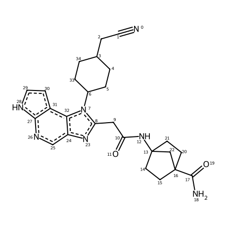 N#CCC1CCC(n2c(CC(=O)NC34CCC(C(N)=O)(CC3)C4)nc3cnc4[nH]ccc4c32)CC1